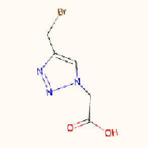 O=C(O)Cn1cc(CBr)nn1